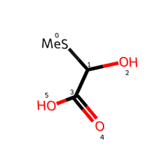 CSC(O)C(=O)O